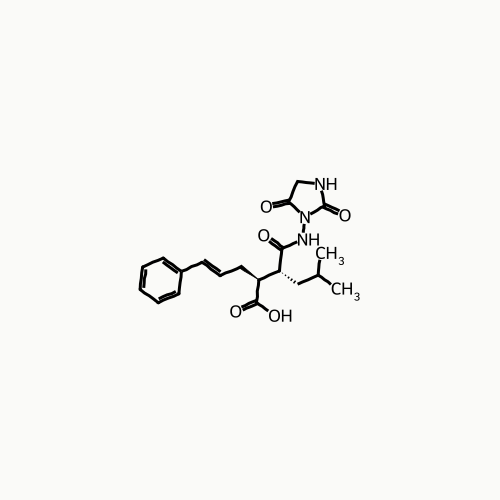 CC(C)C[C@@H](C(=O)NN1C(=O)CNC1=O)[C@H](CC=Cc1ccccc1)C(=O)O